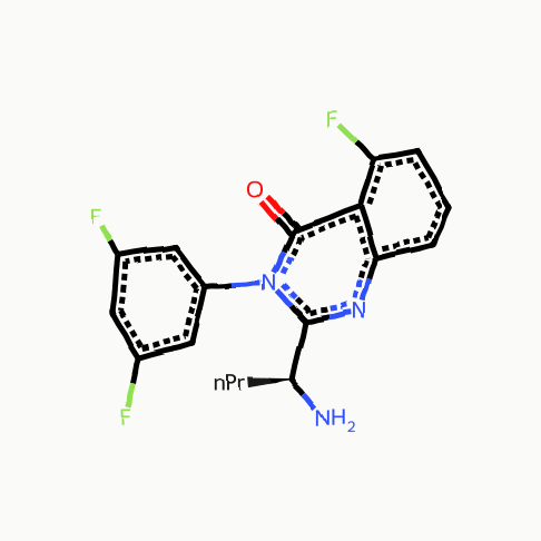 CCC[C@H](N)c1nc2cccc(F)c2c(=O)n1-c1cc(F)cc(F)c1